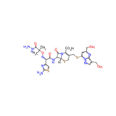 CC(C)(O/N=C(\C(=O)NC1C(=O)N2C(C(=O)O)=C(CSc3cc(CO)nc4c(CO)cnn34)CS[C@H]12)c1csc(N)n1)C(=O)NN